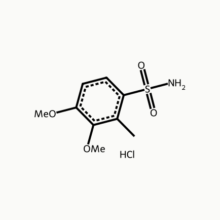 COc1ccc(S(N)(=O)=O)c(C)c1OC.Cl